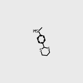 C[SiH](C)c1ccc(C2SCCCS2)cc1